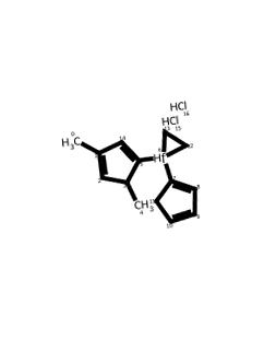 CC1=CC(C)[C]([Hf]2([C]3=CC=CC3)[CH2][CH2]2)=C1.Cl.Cl